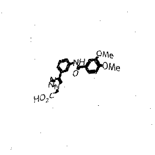 COc1ccc(C(=O)Nc2cccc(-c3cn(CC(=O)O)nn3)c2)cc1OC